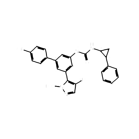 Cn1ncc(Br)c1-c1cc(NC(=O)NC2CC2c2ccccc2)cc(-c2ccc(F)cc2)c1